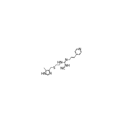 Cc1[nH]cnc1CSCCNC(=NCC=Cc1ccncc1)NC#N